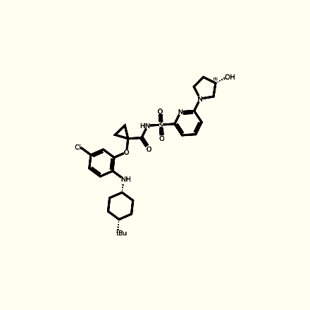 CC(C)(C)[C@H]1CC[C@@H](Nc2ccc(Cl)cc2OC2(C(=O)NS(=O)(=O)c3cccc(N4CC[C@H](O)C4)n3)CC2)CC1